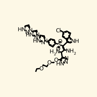 CCOCCOCOc1[nH]nnc1C(N)C(N)=C(c1c[nH]c2ccc(Cl)cc12)S(=O)(=O)c1ccccc1.c1c[nH]nn1.c1c[nH]nn1.c1c[nH]nn1